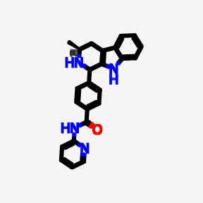 C[C@H]1Cc2c([nH]c3ccccc23)C(c2ccc(C(=O)Nc3ccccn3)cc2)N1